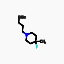 COCCCN1CCC(C)(F)CC1